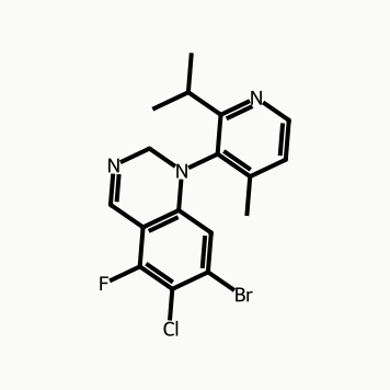 Cc1ccnc(C(C)C)c1N1CN=Cc2c1cc(Br)c(Cl)c2F